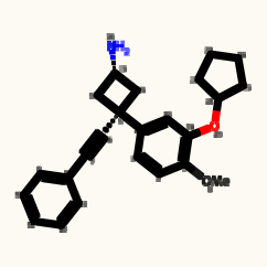 COc1ccc([C@]2(C#Cc3ccccc3)C[C@@H](N)C2)cc1OC1CCCC1